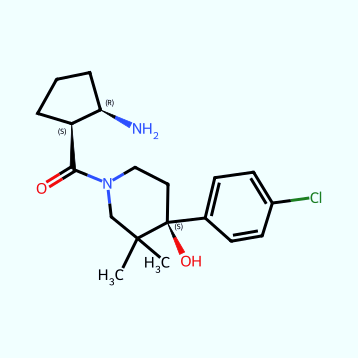 CC1(C)CN(C(=O)[C@H]2CCC[C@H]2N)CC[C@]1(O)c1ccc(Cl)cc1